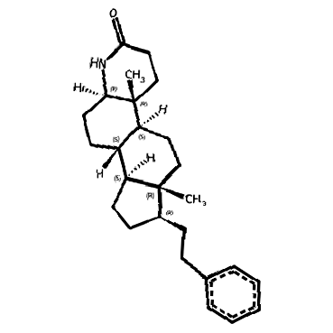 C[C@]12CCC(=O)N[C@@H]1CC[C@@H]1[C@@H]2CC[C@]2(C)[C@@H](CCc3ccccc3)CC[C@@H]12